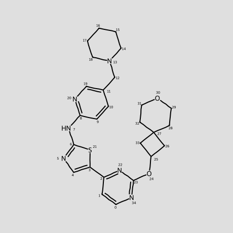 c1cc(-c2cnc(Nc3ccc(CN4CCCCC4)cn3)s2)nc(OC2CC3(CCOCC3)C2)n1